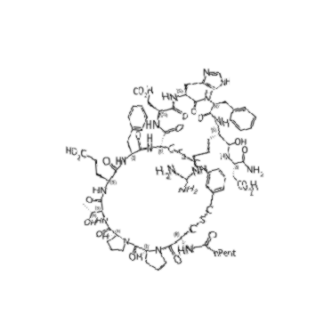 CCCCCC(=O)N[C@H]1CSCc2cccc(c2)CSC[C@@H](C(=O)N[C@@H](CC(=O)O)C(=O)N[C@@H](Cc2c[nH]cn2)C(=O)N[C@@H](Cc2ccccc2)C(=O)N[C@@H](CCCNC(N)N)C(O)N[C@@H](CC(=O)O)C(N)=O)NC(=O)[C@H](Cc2ccccc2)NC(=O)[C@H](CCC(=O)O)NC(=O)[C@H]([C@@H](C)O)NC(=O)[C@@H]2CCCN2C(=O)[C@@H]2CCCN2C1=O